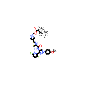 CCO[C@H]1CC[C@H](n2cc(NC(=O)c3csc(-c4cnn(COC(=O)[C@H](OC(C)=O)[C@@H](OC(C)=O)C(=O)O)c4)n3)c(-c3nc(F)ccc3F)n2)CC1